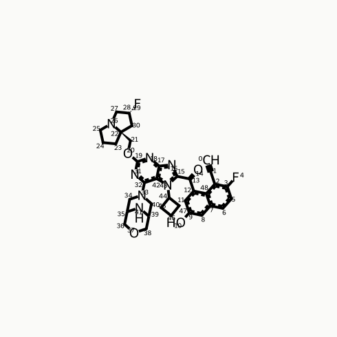 C#Cc1c(F)ccc2cc(O)cc(C(=O)c3nc4nc(OC[C@@]56CCCN5C[C@H](F)C6)nc(N5CC6COCC(C5)N6)c4n3C3CCC3)c12